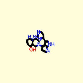 Nc1nccc(-c2c[nH]c3nccc(N4CCc5cccc(O)c5C4)c23)n1